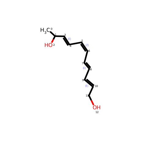 CC(O)/C=C/C=C\C=C\C=C\CO